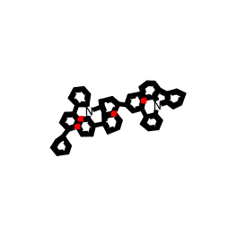 c1ccc(-c2ccc(-c3ccccc3N(c3ccc(-c4cccc(-c5ccccc5-n5c6ccccc6c6ccccc65)c4)cc3)c3ccccc3-c3ccccc3)cc2)cc1